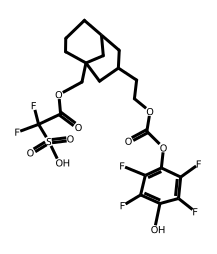 O=C(OCCC1CC2CCCC(COC(=O)C(F)(F)S(=O)(=O)O)(C2)C1)Oc1c(F)c(F)c(O)c(F)c1F